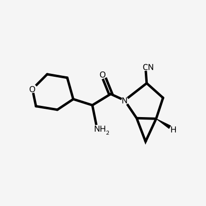 N#CC1C[C@@H]2CC2N1C(=O)C(N)C1CCOCC1